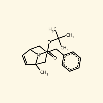 CC(C)(C)OC(=O)N1C2C=CC1(C)CN(Cc1ccccc1)C2